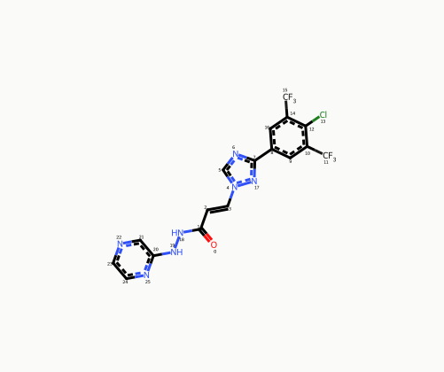 O=C(C=Cn1cnc(-c2cc(C(F)(F)F)c(Cl)c(C(F)(F)F)c2)n1)NNc1cnccn1